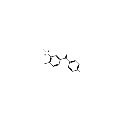 NS(=O)(=O)c1cc(C(=O)c2ccc(O)cc2)ccc1Cl